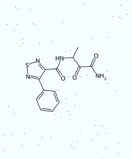 CC(NC(=O)c1nsnc1-c1ccccc1)C(=O)C(N)=O